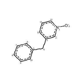 [O-][n+]1[c]c(Cc2ccccc2)ccc1